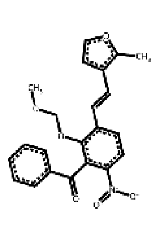 COCOc1c(/C=C/c2ccoc2C)ccc([N+](=O)[O-])c1C(=O)c1ccccc1